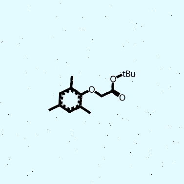 Cc1cc(C)c(OCC(=O)OC(C)(C)C)c(C)c1